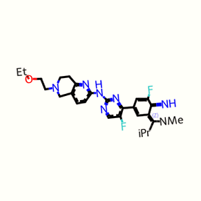 CCOCCN1CCc2nc(Nc3ncc(F)c(C4=C/C(=C(/NC)C(C)C)C(=N)C(F)=C4)n3)ccc2C1